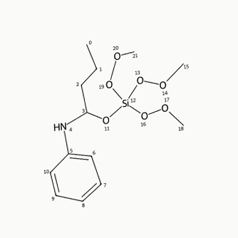 CCCC(Nc1ccccc1)O[Si](OOC)(OOC)OOC